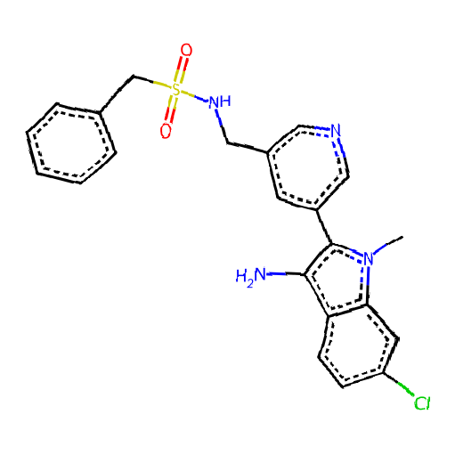 Cn1c(-c2cncc(CNS(=O)(=O)Cc3ccccc3)c2)c(N)c2ccc(Cl)cc21